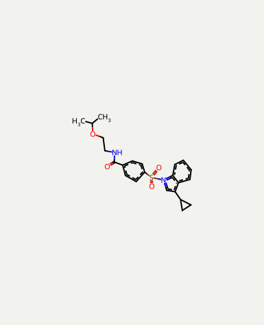 CC(C)OCCNC(=O)c1ccc(S(=O)(=O)n2cc(C3CC3)c3ccccc32)cc1